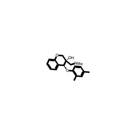 CNC[C@]1(O)COc2ccccc2[C@@H]1Oc1ccc(C)cc1C